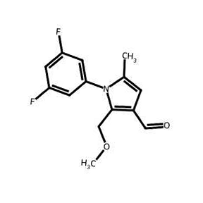 COCc1c(C=O)cc(C)n1-c1cc(F)cc(F)c1